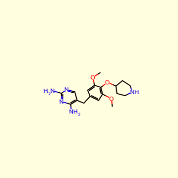 COc1cc(Cc2cnc(N)nc2N)cc(OC)c1OC1CCNCC1